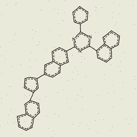 c1ccc(-c2nc(-c3ccc4cc(-c5cccc(-c6ccc7ccccc7c6)c5)ccc4c3)nc(-c3cccc4ccccc34)n2)cc1